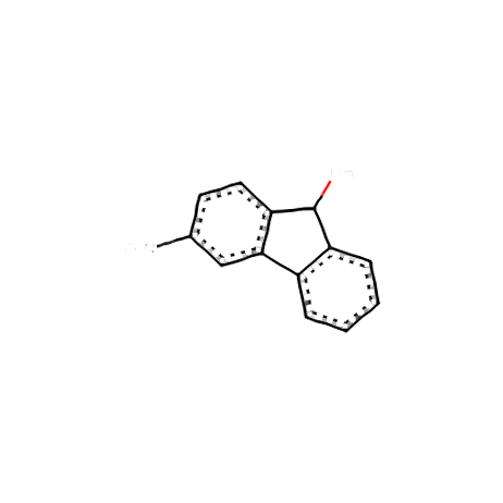 O=[N+]([O-])c1ccc2c(c1)-c1ccccc1C2O